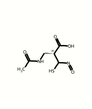 CC(=O)NC[C@H](C(=O)O)C(S)N=O